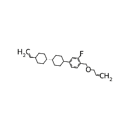 C=CCOCc1ccc(C2CCC([C@H]3CC[C@H](C=C)CC3)CC2)cc1F